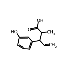 C=CC(c1cccc(O)c1)C(C)C(=O)O